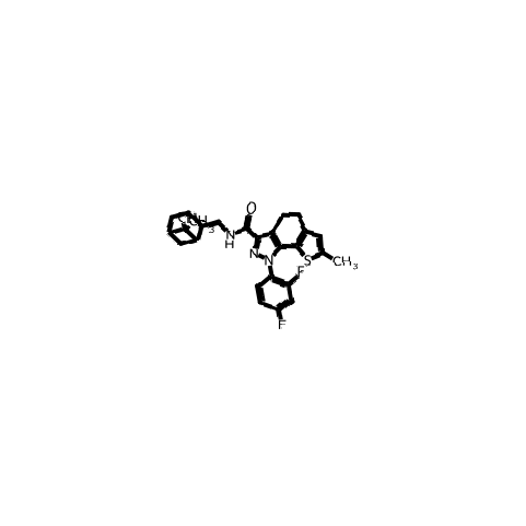 Cc1cc2c(s1)-c1c(c(C(=O)NCC3CCC4CC3C4(C)C)nn1-c1ccc(F)cc1F)CC2